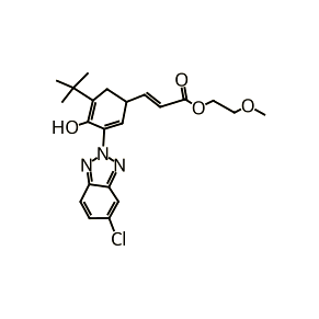 COCCOC(=O)C=CC1C=C(n2nc3ccc(Cl)cc3n2)C(O)=C(C(C)(C)C)C1